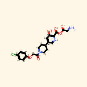 NCC(=O)OC(=O)c1ncc(C2CCN(C(=O)COc3ccc(Cl)cc3)CC2)cc1O